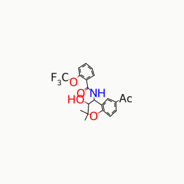 CC(=O)c1ccc2c(c1)C(NC(=O)c1ccccc1OC(F)(F)F)C(O)C(C)(C)O2